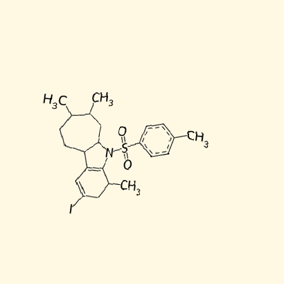 Cc1ccc(S(=O)(=O)N2C3=C(C=C(I)CC3C)C3CCC(C)C(C)CC32)cc1